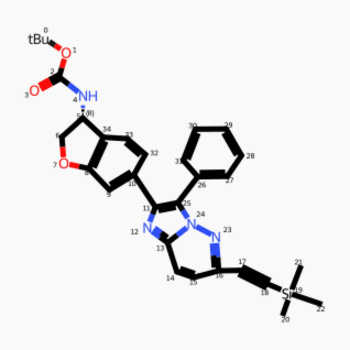 CC(C)(C)OC(=O)N[C@H]1COc2cc(-c3nc4ccc(C#C[Si](C)(C)C)nn4c3-c3ccccc3)ccc21